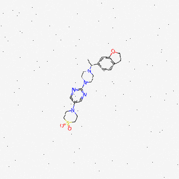 CC(c1ccc2c(c1)OCC2)N1CCN(c2ncc(N3CCS(=O)(=O)CC3)cn2)CC1